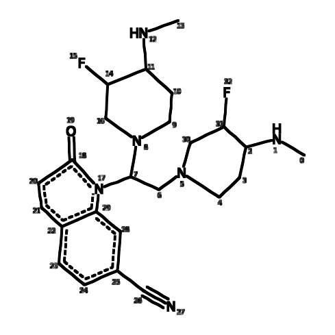 CNC1CCN(CC(N2CCC(NC)C(F)C2)n2c(=O)ccc3ccc(C#N)cc32)CC1F